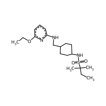 CCOc1cccc(NCC2CCC(NS(=O)(=O)C(C)(C)CC)CC2)n1